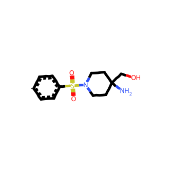 NC1(CO)CCN(S(=O)(=O)c2cc[c]cc2)CC1